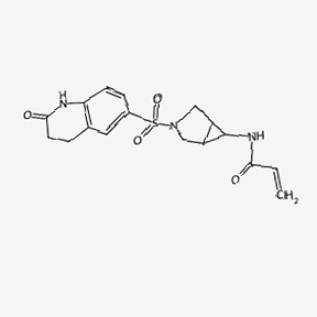 C=CC(=O)NC1C2CN(S(=O)(=O)c3ccc4c(c3)CCC(=O)N4)CC21